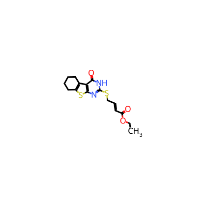 CCOC(=O)/C=C/CSc1nc2sc3c(c2c(=O)[nH]1)CCCC3